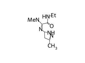 CCNC(=O)C(=NC1CC(C)=NN1)NC